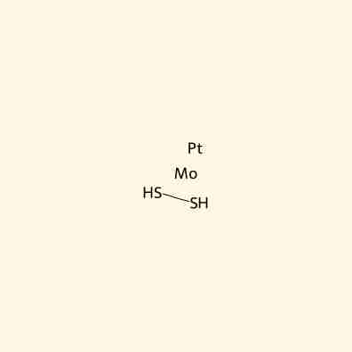 SS.[Mo].[Pt]